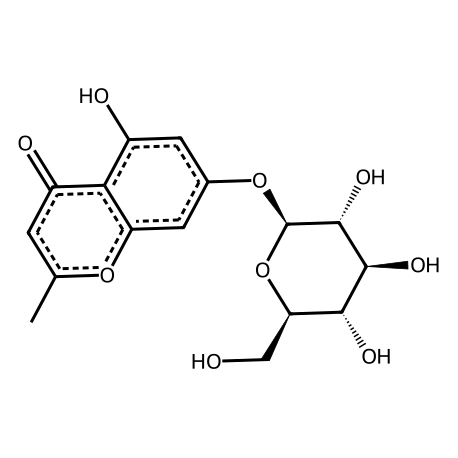 Cc1cc(=O)c2c(O)cc(O[C@@H]3O[C@H](CO)[C@@H](O)[C@H](O)[C@H]3O)cc2o1